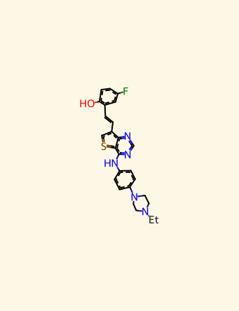 CCN1CCN(c2ccc(Nc3ncnc4c(C=Cc5cc(F)ccc5O)csc34)cc2)CC1